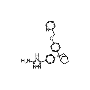 Nc1nnc(-c2ccc([C@]3(c4ccc(OCc5ccccn5)cc4)CC4CCC3C4)cc2)[nH]1